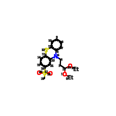 CCOC(CCN1c2ccccc2Sc2ccc(S(C)(=O)=O)cc21)OCC